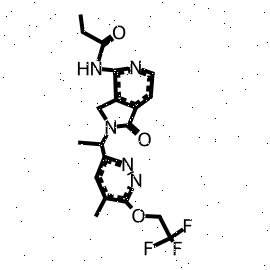 CCC(=O)Nc1nccc2c1CN(C(C)c1cc(C)c(OCC(F)(F)F)nn1)C2=O